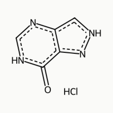 Cl.O=c1[nH]cnc2c[nH]nc12